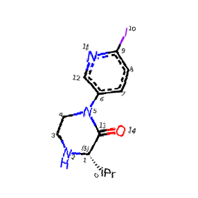 CC(C)[C@@H]1NCCN(c2ccc(I)nc2)C1=O